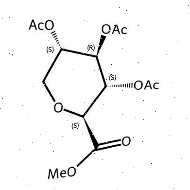 COC(=O)[C@H]1OC[C@H](OC(C)=O)[C@@H](OC(C)=O)[C@@H]1OC(C)=O